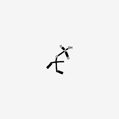 C=CC(C)(C=C)OS(=O)(=O)O